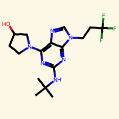 CC(C)(C)Nc1nc(N2CCC(O)C2)c2ncn(CCC(F)(F)F)c2n1